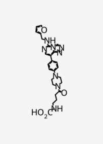 O=C(O)NCCCC(=O)N1CCN(c2ccc(-c3cnc(NCc4ccco4)n4cnnc34)cc2)CC1